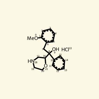 COc1ccccc1CC(O)(c1ccccc1)C1CNCCO1.Cl